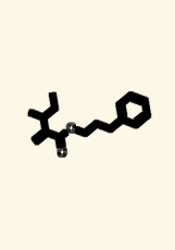 C=C(C(=O)OCCCc1ccccc1)C(C)CC